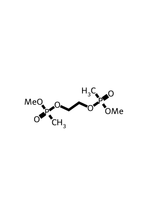 COP(C)(=O)OCCOP(C)(=O)OC